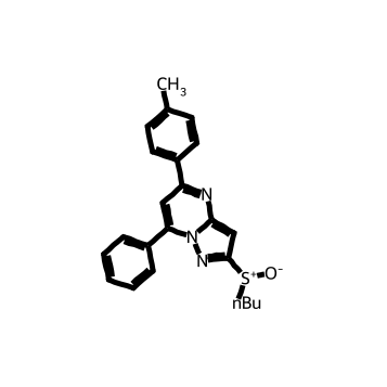 CCCC[S+]([O-])c1cc2nc(-c3ccc(C)cc3)cc(-c3ccccc3)n2n1